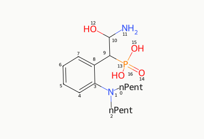 CCCCCN(CCCCC)c1ccccc1C(C(N)O)P(=O)(O)O